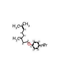 CC(C)=CCCC(C)CCOc1ccc(C(C)C)cc1